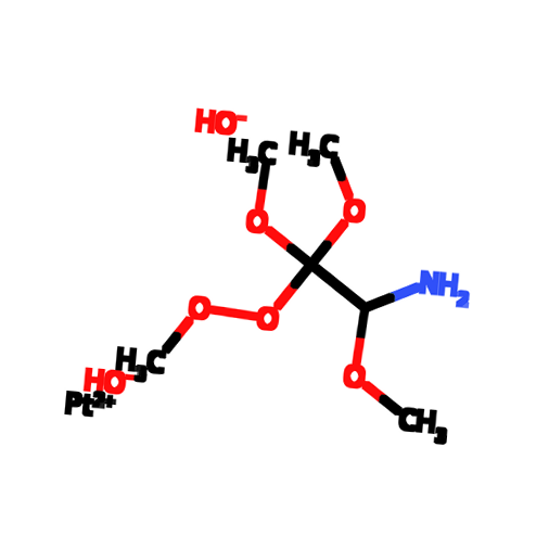 COOC(OC)(OC)C(N)OC.[OH-].[OH-].[Pt+2]